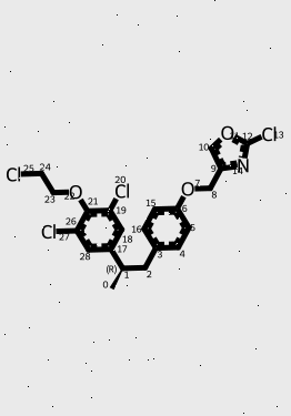 C[C@H](Cc1ccc(OCc2coc(Cl)n2)cc1)c1cc(Cl)c(OCCCl)c(Cl)c1